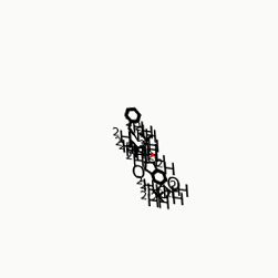 [2H]c1c(OC([2H])([2H])[2H])c(OC([2H])([2H])[2H])c([2H])c2c1C(=O)C([2H])(C([2H])([2H])C1([2H])C([2H])([2H])C([2H])([2H])N(Cc3ccccc3)C([2H])([2H])C1([2H])[2H])C2([2H])[2H]